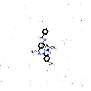 Cc1ccc2c(N[C@H](C)c3ccc(NC(=O)c4ccc(F)cc4)cc3)nc(N(C)C)nc2c1